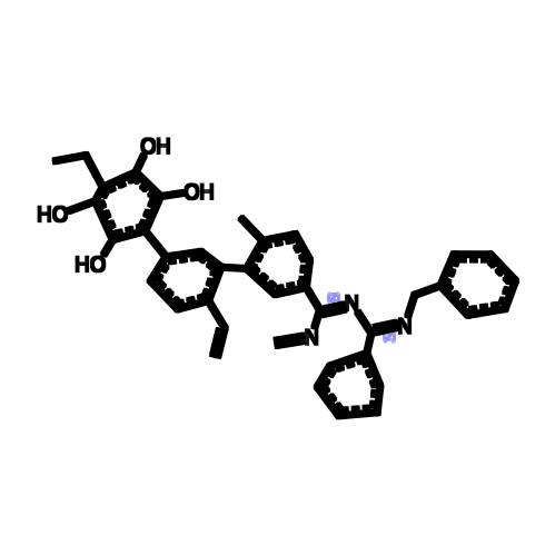 C=Cc1ccc(-c2c(O)c(O)c(CC)c(O)c2O)cc1-c1cc(/C(N=C)=N/C(=N\Cc2ccccc2)c2ccccc2)ccc1C